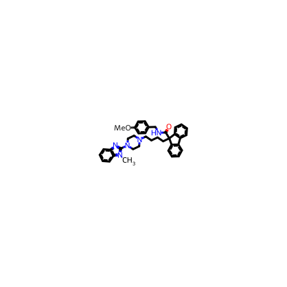 COc1ccc(CNC(=O)C2(CCCCN3CCN(c4nc5ccccc5n4C)CC3)c3ccccc3-c3ccccc32)cc1